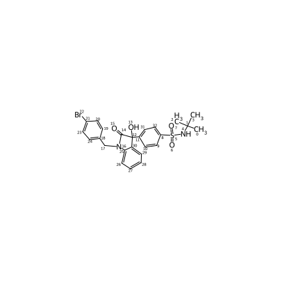 CC(C)(C)NS(=O)(=O)c1ccc(C2(O)C(=O)N(Cc3ccc(Br)cc3)c3ccccc32)cc1